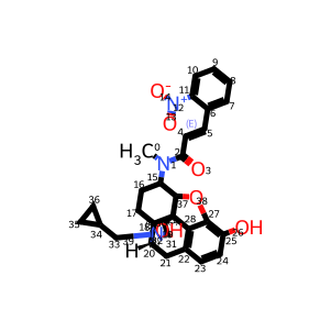 CN(C(=O)/C=C/c1ccccc1[N+](=O)[O-])C1CC[C@@]2(O)[C@H]3Cc4ccc(O)c5c4[C@@]2(CCN3CC2CC2)C1O5